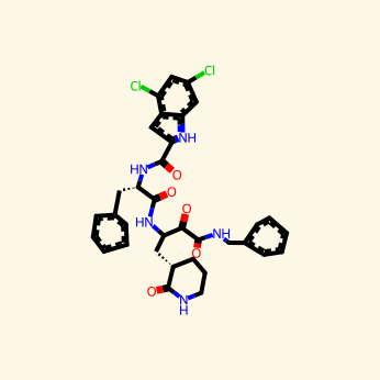 O=C(NCc1ccccc1)C(=O)C(C[C@@H]1CCCNC1=O)NC(=O)[C@H](Cc1ccccc1)NC(=O)c1cc2c(Cl)cc(Cl)cc2[nH]1